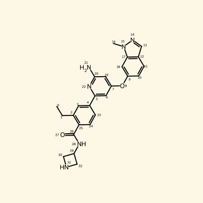 CCc1cc(-c2cc(Oc3ccc4cnn(C)c4c3)cc(N)n2)ccc1C(=O)NC1CNC1